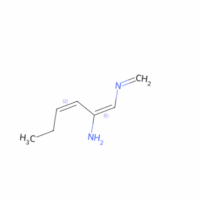 C=N/C=C(N)\C=C/CC